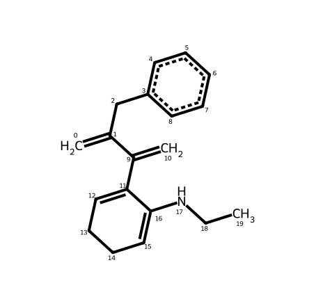 C=C(Cc1ccccc1)C(=C)C1=CCCC=C1NCC